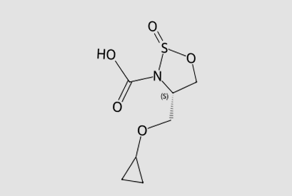 O=C(O)N1[C@@H](COC2CC2)COS1=O